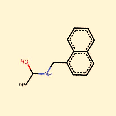 CCCC(O)NCc1cccc2ccccc12